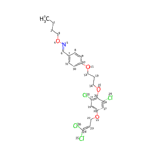 CCCCON=Cc1ccc(OCCCOc2c(Cl)cc(OCC=C(Cl)Cl)cc2Cl)cc1